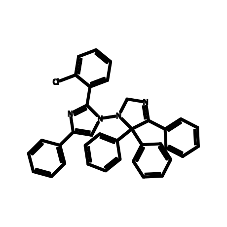 Clc1ccccc1-c1nc(-c2ccccc2)cn1N1CN=C(c2ccccc2)C1(c1ccccc1)c1ccccc1